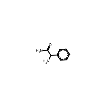 NC(=O)C(N)c1cc[c]cc1